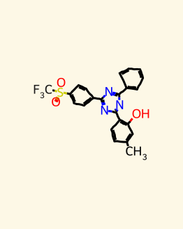 Cc1ccc(-c2nc(-c3ccccc3)nc(-c3ccc(S(=O)(=O)C(F)(F)F)cc3)n2)c(O)c1